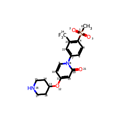 CS(=O)(=O)c1ccc(-n2ccc(OC3CCNCC3)cc2=O)cc1C(F)(F)F